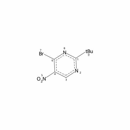 CC(C)(C)c1ncc([N+](=O)[O-])c(Br)n1